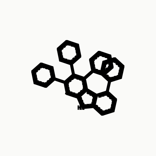 [c]1c(-c2ccccc2)c(-c2ccccc2)c(-c2ccccc2)c2c1[nH]c1cccc(-c3ccccc3)c12